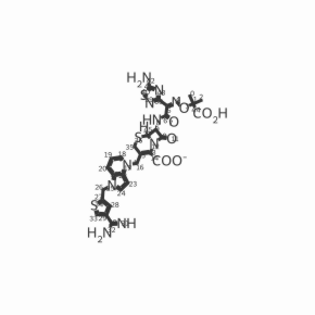 CC(C)(O/N=C(\C(=O)N[C@@H]1C(=O)N2C(C(=O)[O-])=C(C[n+]3cccc4c3ccn4Cc3cc(C(=N)N)cs3)CS[C@H]12)c1nsc(N)n1)C(=O)O